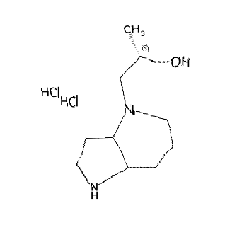 C[C@H](O)CN1CCCC2NCCC21.Cl.Cl